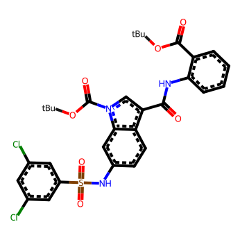 CC(C)(C)OC(=O)c1ccccc1NC(=O)c1cn(C(=O)OC(C)(C)C)c2cc(NS(=O)(=O)c3cc(Cl)cc(Cl)c3)ccc12